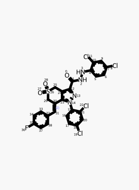 O=C(NNc1ccc(Cl)cc1Cl)c1nn(-c2ccc(Cl)cc2Cl)c2c1CS(=O)(=O)C/C2=C\c1ccc(F)cc1